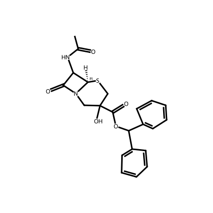 CC(=O)NC1C(=O)N2CC(O)(C(=O)OC(c3ccccc3)c3ccccc3)CS[C@H]12